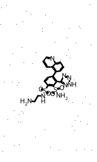 NCCNS(=O)(=O)c1ccc(-c2cccc3ncccc23)c(-c2nn[nH]n2)c1S(N)(=O)=O